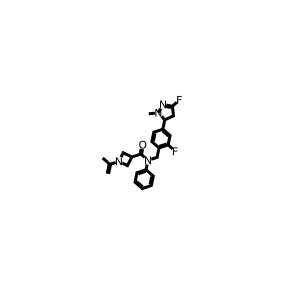 C=C(C)N1CC(C(=O)N(Cc2ccc(C3CC(F)=NN3C)cc2F)c2ccccc2)C1